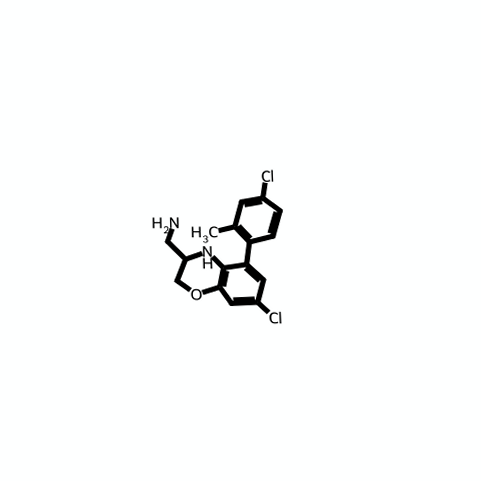 Cc1cc(Cl)ccc1-c1cc(Cl)cc2c1NC(CN)CO2